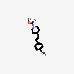 CC(C)(C)OC(=O)N1CCC(C=Cc2ccc(C(F)(F)F)cc2)CC1